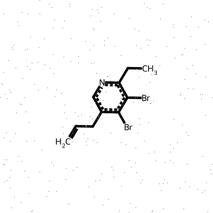 C=CCc1cnc(CC)c(Br)c1Br